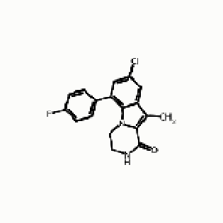 Cc1c2n(c3c(-c4ccc(F)cc4)cc(Cl)cc13)CCNC2=O